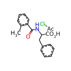 CC(=O)Cl.Cc1ccccc1C(=O)NC(Cc1ccccc1)C(=O)O